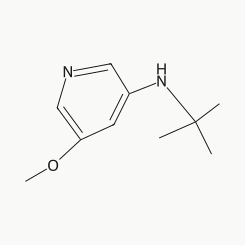 COc1cncc(NC(C)(C)C)c1